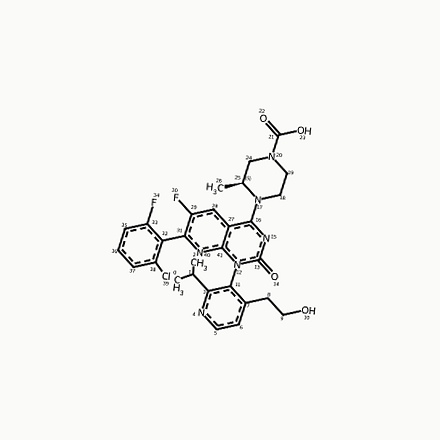 CC(C)c1nccc(CCO)c1-n1c(=O)nc(N2CCN(C(=O)O)C[C@@H]2C)c2cc(F)c(-c3c(F)cccc3Cl)nc21